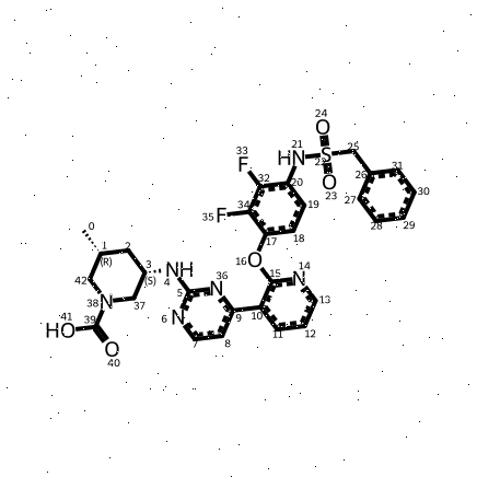 C[C@@H]1C[C@H](Nc2nccc(-c3cccnc3Oc3ccc(NS(=O)(=O)Cc4ccccc4)c(F)c3F)n2)CN(C(=O)O)C1